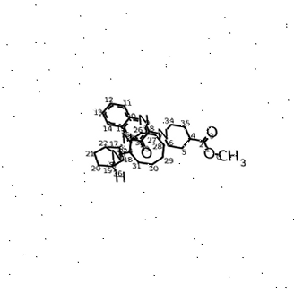 COC(=O)C1CCN(c2nc3ccccc3n([C@@H]3C[C@@H]4CCC3N4C3CCCCCCC3)c2=O)CC1